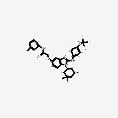 Cc1cccc(NC(=O)COc2ccc3c(c2)nc(Nc2ccc(OC(F)(F)F)cc2)n3[C@H]2C[C@@H](C)CC(C)(C)C2)c1